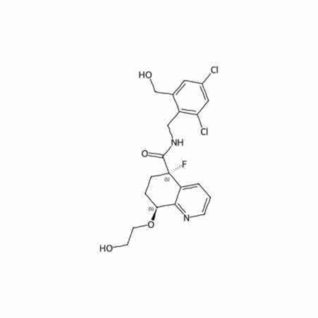 O=C(NCc1c(Cl)cc(Cl)cc1CO)[C@]1(F)CC[C@H](OCCO)c2ncccc21